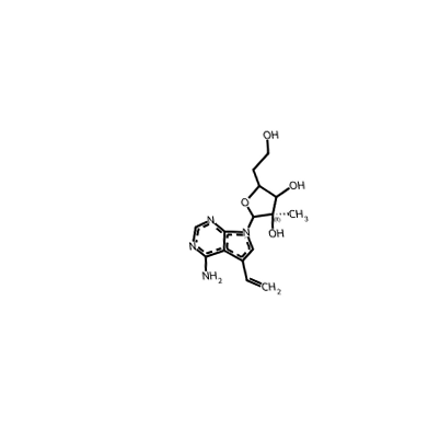 C=Cc1cn(C2OC(CCO)C(O)[C@@]2(C)O)c2ncnc(N)c12